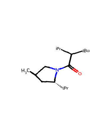 CCC(C)C(C(=O)N1CC(C)C[C@H]1C(C)C)C(C)C